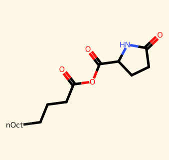 CCCCCCCCCCCC(=O)OC(=O)C1CCC(=O)N1